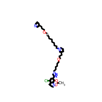 CC(=O)Oc1c(-c2cn(CCCCCCOCCCc3ccc[n+](CCCCCCCCCCOCCCc4cccnc4)c3)nn2)cc(Cl)c2cccnc12